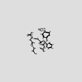 CCC(=O)O[C@](Cc1ccccc1)(c1ccccc1)[C@H](C)CN(C)C.CCCOCCOC(C)=O.Cl